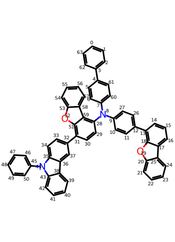 c1ccc(-c2ccc(N(c3ccc(-c4cccc5c4oc4ccccc45)cc3)c3ccc(-c4ccc5c(c4)c4ccccc4n5-c4ccccc4)c4oc5ccccc5c34)cc2)cc1